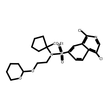 CCOC(=O)C1(N(CCOC2CCCCO2)S(=O)(=O)c2ccc3c(Cl)cnc(Cl)c3c2)CCCC1